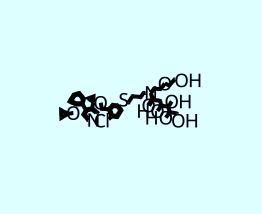 O=C(CC(O)C(O)C(O)CO)N(CCCCSc1ccc(Cl)c(COC2(c3cnccc3-c3ccccc3OC3CC3)CC2)c1)CCOCCO